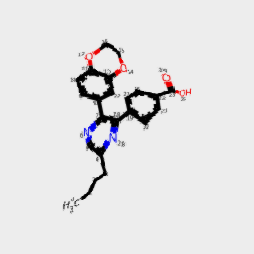 CCCCc1cnc(-c2ccc3c(c2)OCCO3)c(-c2ccc(C(=O)O)cc2)n1